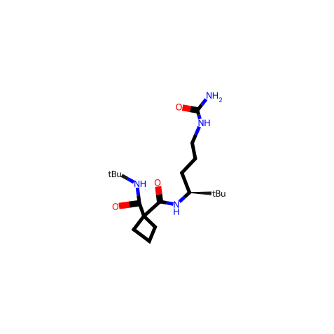 CC(C)(C)NC(=O)C1(C(=O)N[C@@H](CCCNC(N)=O)C(C)(C)C)CCC1